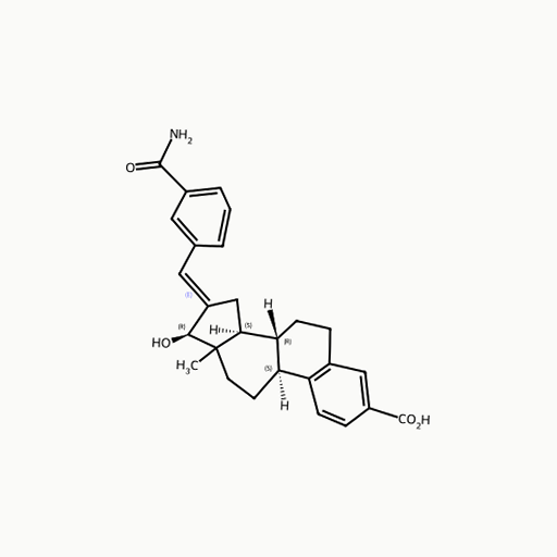 CC12CC[C@@H]3c4ccc(C(=O)O)cc4CC[C@H]3[C@@H]1C/C(=C\c1cccc(C(N)=O)c1)[C@@H]2O